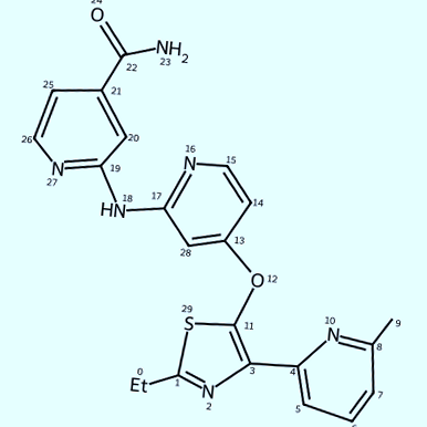 CCc1nc(-c2cccc(C)n2)c(Oc2ccnc(Nc3cc(C(N)=O)ccn3)c2)s1